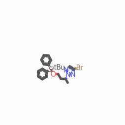 CC(CCO[Si](c1ccccc1)(c1ccccc1)C(C)(C)C)n1ncc(Br)n1